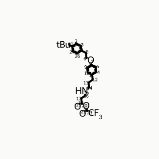 CC(C)(C)c1ccc(CCOc2ccc(CCCNCCC(=O)OC(=O)C(F)(F)F)cc2)cc1